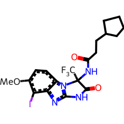 COc1ccc2c(nc3n2C(NC(=O)CCC2CCCC2)(C(F)(F)F)C(=O)N3)c1I